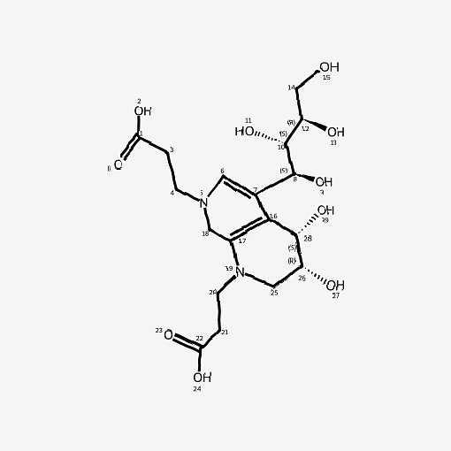 O=C(O)CCN1C=C([C@H](O)[C@H](O)[C@H](O)CO)C2=C(C1)N(CCC(=O)O)C[C@@H](O)[C@H]2O